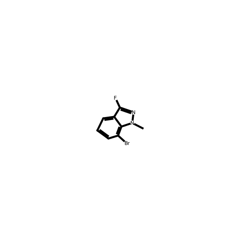 Cn1nc(F)c2cccc(Br)c21